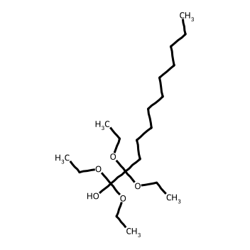 CCCCCCCCCCC(OCC)(OCC)C(O)(OCC)OCC